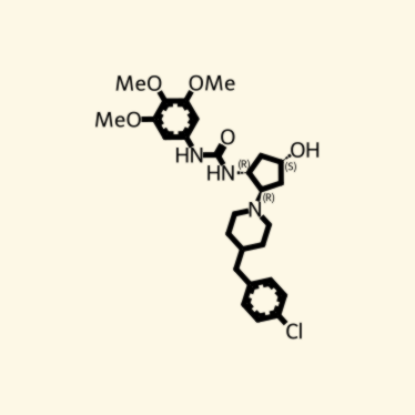 COc1cc(NC(=O)N[C@@H]2C[C@H](O)C[C@H]2N2CCC(Cc3ccc(Cl)cc3)CC2)cc(OC)c1OC